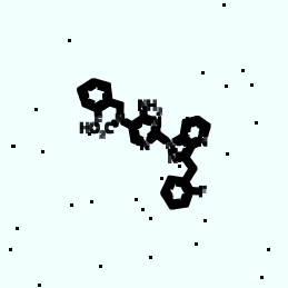 Nc1nc(-n2nc(Cc3ccccc3F)c3ncccc32)ncc1N(Cc1ccccc1F)C(=O)O